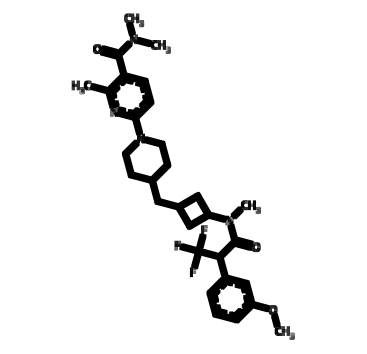 COc1cccc(C(C(=O)N(C)C2CC(CC3CCN(c4ccc(C(=O)N(C)C)c(C)n4)CC3)C2)C(F)(F)F)c1